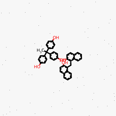 CC(c1ccc(O)cc1)(c1ccc(O)cc1)c1ccc(O)cc1.Oc1ccc2ccccc2c1Cc1c(O)ccc2ccccc12